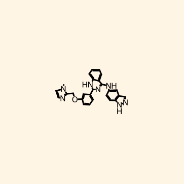 Cn1ccnc1COc1cccc(C2N=C(Nc3ccc4[nH]ncc4c3)c3ccccc3N2)c1